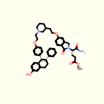 CC(C)(C)OC(=O)CC[C@@H](C(N)=O)N1Cc2cc(OCCC3CCCN(CCOc4ccc([C@H]5c6ccc(O)cc6CC[C@H]5c5ccccc5)cc4)C3)ccc2C1=O